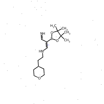 CC1(C)OB(/C(C=N)=C/NCCC2CCOCC2)OC1(C)C